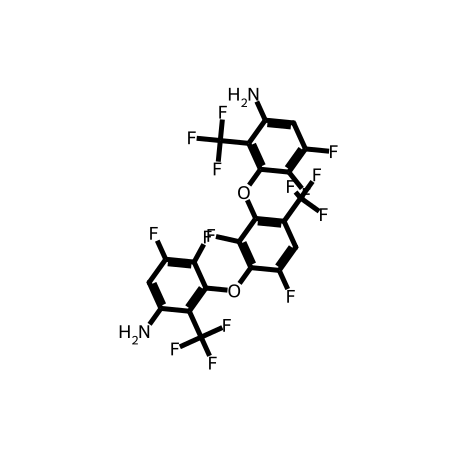 Nc1cc(F)c(F)c(Oc2c(F)cc(C(F)(F)F)c(Oc3c(F)c(F)cc(N)c3C(F)(F)F)c2F)c1C(F)(F)F